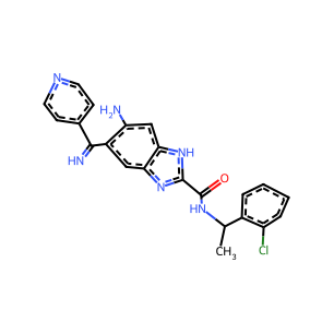 CC(NC(=O)c1nc2cc(C(=N)c3ccncc3)c(N)cc2[nH]1)c1ccccc1Cl